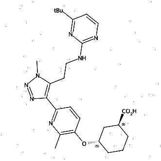 Cc1nc(-c2nnn(C)c2CCNc2nccc(C(C)(C)C)n2)ccc1O[C@H]1CCC[C@H](C(=O)O)C1